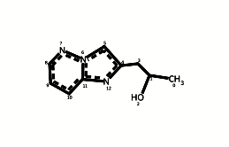 CC(O)Cc1cn2n[c]ccc2n1